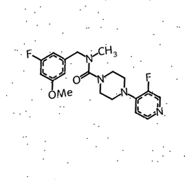 COc1cc(F)cc(CN(C)C(=O)N2CCN(c3ccncc3F)CC2)c1